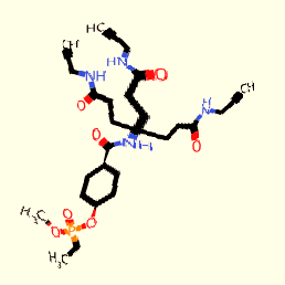 C#CCNC(=O)CCC(CCC(=O)NCC#C)(CCC(=O)NCC#C)NC(=O)[C@H]1CC[C@@H](OP(=O)(CC)OC)CC1